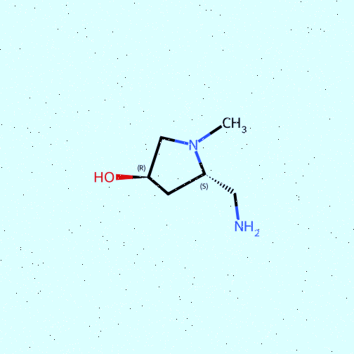 CN1C[C@H](O)C[C@H]1CN